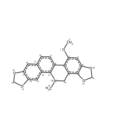 COc1cc2c(c3c1-c1ccc4cc5c(cc4c1N(C)C3)OCO5)OCO2